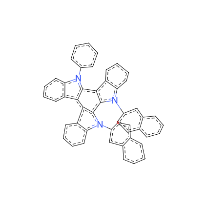 c1ccc(-n2c3ccccc3c3c4c5ccccc5n(-c5ccc6ccccc6c5)c4c4c(c5ccccc5n4-c4ccc5ccccc5c4)c32)cc1